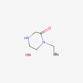 Br.CC(C)(C)CN1CCNCC1=O